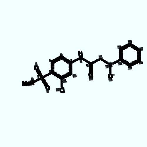 CNS(=O)(=O)c1ccc(NC(=O)C[S+]([O-])c2ccccc2)cc1Cl